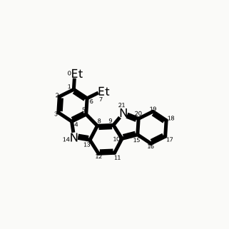 CCc1ccc2c(c1CC)-c1c3c(ccc1=N2)=c1ccccc1=N3